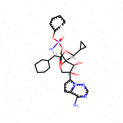 C[C@]1(COP(=O)(N[C@H](C(=O)OCC2CC2)C2CCCCC2)Oc2ccccc2)OC[C@@](O)(c2ccc3c(N)ncnn23)[C@@H]1O